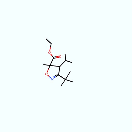 CCOC(=O)C1(C)ON=C(C(C)(C)C)C1C(C)C